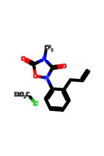 C=CCc1ccccc1-n1oc(=O)n(C(F)(F)F)c1=O.CCOC(=O)Cl